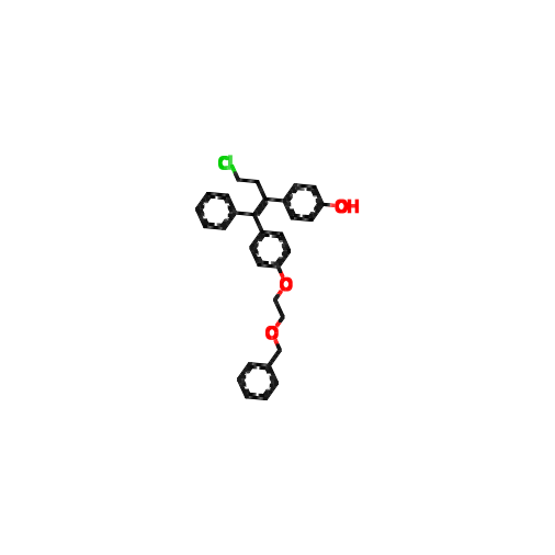 Oc1ccc(C(CCCl)=C(c2ccccc2)c2ccc(OCCOCc3ccccc3)cc2)cc1